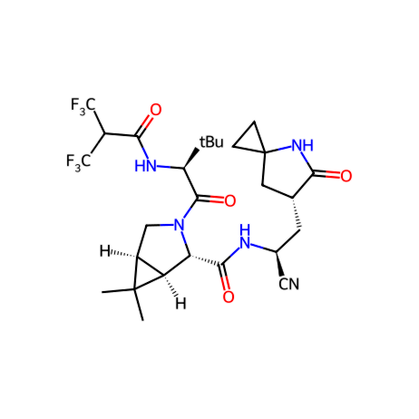 CC(C)(C)[C@H](NC(=O)C(C(F)(F)F)C(F)(F)F)C(=O)N1C[C@H]2[C@@H]([C@H]1C(=O)N[C@H](C#N)C[C@@H]1CC3(CC3)NC1=O)C2(C)C